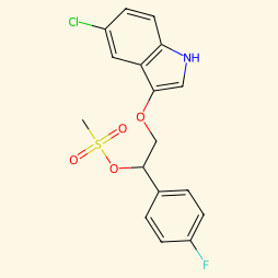 CS(=O)(=O)OC(COc1c[nH]c2ccc(Cl)cc12)c1ccc(F)cc1